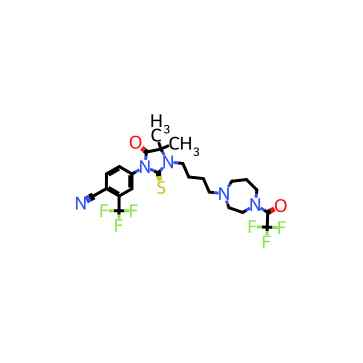 CC1(C)C(=O)N(c2ccc(C#N)c(C(F)(F)F)c2)C(=S)N1CCCCN1CCCN(C(=O)C(F)(F)F)CC1